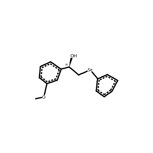 COc1cccc([C@@H](O)C[Se]c2ccccc2)c1